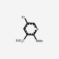 CCOC(=O)c1cc(CC)cnc1NC